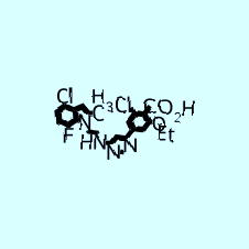 CCOc1cc(-c2cc(NCCn3c(C)cc4c(Cl)ccc(F)c43)ncn2)cc(Cl)c1C(=O)O